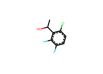 CC(O)c1c(Cl)ccc(F)c1F